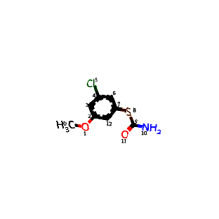 COc1cc(Cl)cc(SC(N)=O)c1